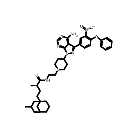 CC1CC2CCCC(CC[C@@H](C)C(=O)NCCN3CCC(n4nc(-c5ccc(Oc6ccccc6)c([N+](=O)[O-])c5)c5c(N)ncnc54)CC3)(C1)C2